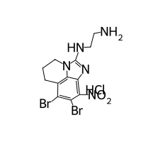 Cl.NCCNc1nc2c([N+](=O)[O-])c(Br)c(Br)c3c2n1CCC3